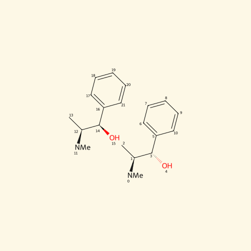 CN[C@@H](C)[C@@H](O)c1ccccc1.CN[C@@H](C)[C@H](O)c1ccccc1